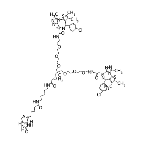 Cc1sc2c(c1C)C(c1ccc(Cl)cc1)=N[C@@H](CC(=O)NCCOCCOCCOCC(C)(COCCOCCOCCNC(=O)C[C@H]1N=C(c3ccc(Cl)cc3)c3c(sc(C)c3C)-n3c(C)nnc31)COCC(=O)NCCCCCNC(=O)CCCC[C@@H]1SC[C@@H]3NC(=O)N[C@@H]31)c1nnc(C)n1-2